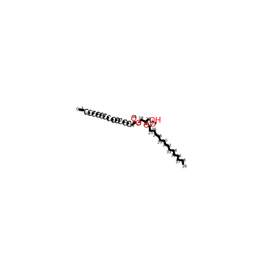 C=C=C=C=C=C=C=C=C=C=C=C=C=C=CC(=O)OCC(CO)OC(=O)CCCCCCCCCCCCCCC